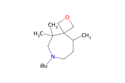 CCC(C)N1CCC(C)C2(COC2)C(C)(C)C1